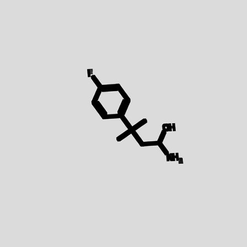 CC(C)(CC(N)O)c1ccc(F)cc1